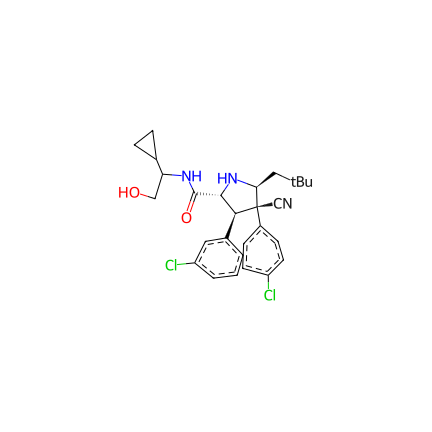 CC(C)(C)C[C@@H]1N[C@@H](C(=O)NC(CO)C2CC2)[C@H](c2cccc(Cl)c2)[C@@]1(C#N)c1ccc(Cl)cc1